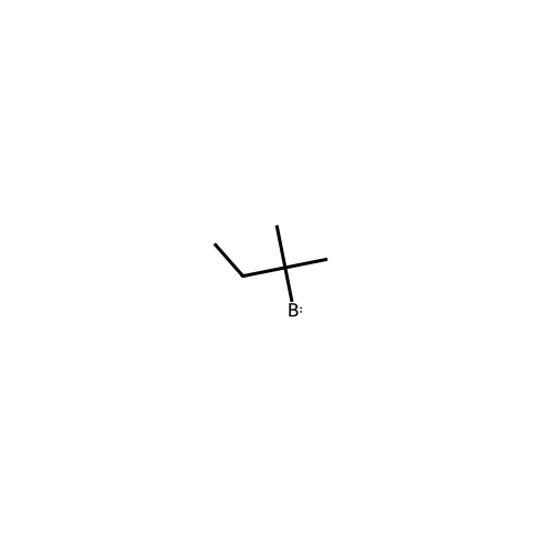 [B]C(C)(C)CC